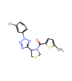 Cc1ccc(C(=O)N2CSCC2c2nnn(-c3cccc(Cl)c3)n2)s1